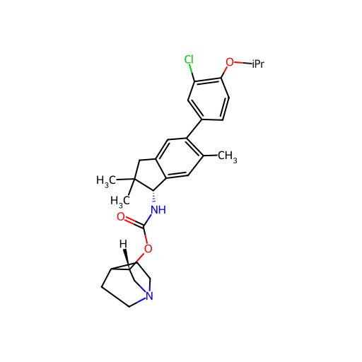 Cc1cc2c(cc1-c1ccc(OC(C)C)c(Cl)c1)CC(C)(C)[C@H]2NC(=O)O[C@@H]1CN2CCC1CC2